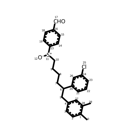 Cc1ccc(CC(CCCC[S+]([O-])c2ccc(C=O)cc2)c2cccc(Cl)c2)cc1C